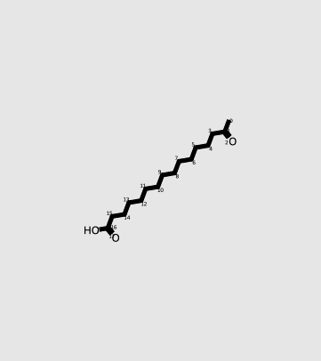 CC(=O)CCCCCCCCCCCCCC(=O)O